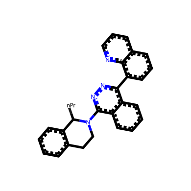 CCCC1c2ccccc2CCN1c1nnc(-c2cccc3cccnc23)c2ccccc12